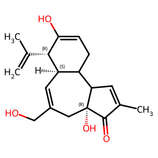 C=C(C)[C@@H]1C(O)=CCC2C3C=C(C)C(=O)[C@@]3(O)CC(CO)=C[C@H]21